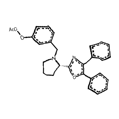 CC(=O)OOc1cccc(CN2CCC[C@H]2c2nc(-c3ccccc3)c(-c3ccccc3)o2)c1